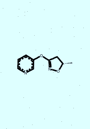 C[C@H]1CC(Oc2cccnc2)=NO1